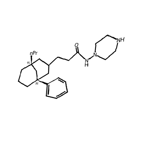 CCC[C@@]12CCC[C@@](c3ccccc3)(CC(CCC(=O)NN3CCNCC3)C1)C2